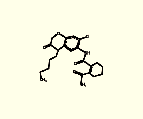 CCCCCN1C(=O)COc2cc(Cl)c(NC(=O)C3=C(C(N)=O)CCCC3)cc21